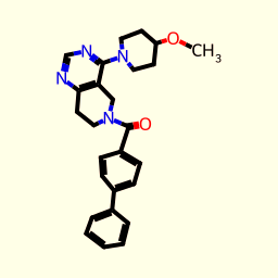 COC1CCN(c2ncnc3c2CN(C(=O)c2ccc(-c4ccccc4)cc2)CC3)CC1